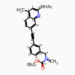 CC(=O)Nc1cc(C)c2ccc(C#Cc3cccc(CN(C)C(=O)OC(C)(C)C)c3)cc2n1